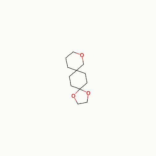 C1COCC2(C1)CCC1(CC2)OCCO1